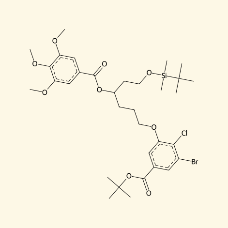 COc1cc(C(=O)OC(CCCOc2cc(C(=O)OC(C)(C)C)cc(Br)c2Cl)CCO[Si](C)(C)C(C)(C)C)cc(OC)c1OC